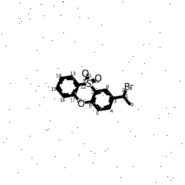 CC(Br)c1ccc2c(c1)S(=O)(=O)c1ccccc1O2